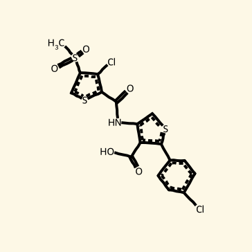 CS(=O)(=O)c1csc(C(=O)Nc2csc(-c3ccc(Cl)cc3)c2C(=O)O)c1Cl